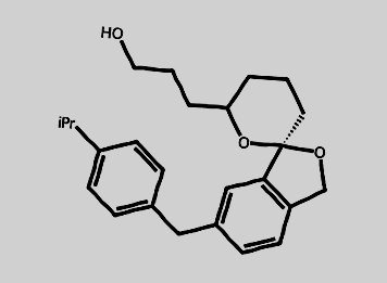 CC(C)c1ccc(Cc2ccc3c(c2)[C@]2(CCCC(CCCO)O2)OC3)cc1